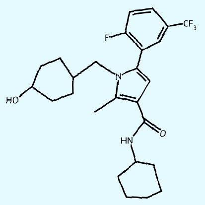 Cc1c(C(=O)NC2CCCCC2)cc(-c2cc(C(F)(F)F)ccc2F)n1CC1CCC(O)CC1